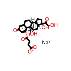 C[C@@]12C(=CC(=O)C=C1OC(=O)CCC(=O)[O-])CC[C@@H]1[C@@H]2[C@@H](O)C[C@@]2(C)[C@H]1CC[C@]2(O)C(=O)CO.[Na+]